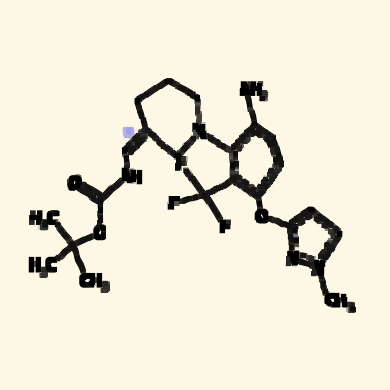 Cn1ccc(Oc2ccc(N)c(N3CCC/C(=C/NC(=O)OC(C)(C)C)C3)c2C(F)(F)F)n1